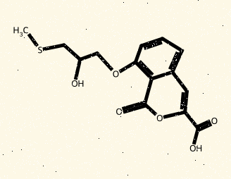 CSCC(O)COc1cccc2cc(C(=O)O)oc(=O)c12